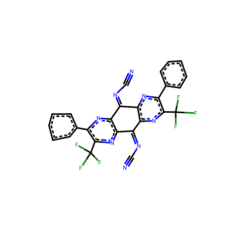 N#CN=C1c2nc(-c3ccccc3)c(C(F)(F)F)nc2C(=NC#N)c2nc(C(F)(F)F)c(-c3ccccc3)nc21